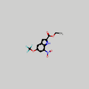 CCOC(=O)c1cc2cc(OC(F)(F)F)cc([N+](=O)[O-])c2[nH]1